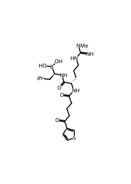 CNC(=N)NCCC[C@H](NC(=O)CCCC(=O)c1ccsc1)C(=O)N[C@@H](CC(C)C)B(O)O